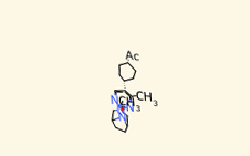 Cc1nc(N2C3CCC2CN(C)C3)ncc1[C@H]1CC[C@@H](C(C)=O)CC1